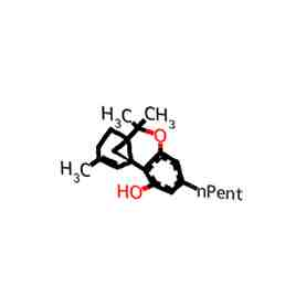 CCCCCc1cc(O)c2c(c1)OC(C)(C)C13CCC(C)=C[C@@]21C3